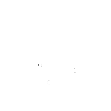 OC1(C(Cl)Cl)CCCCC1